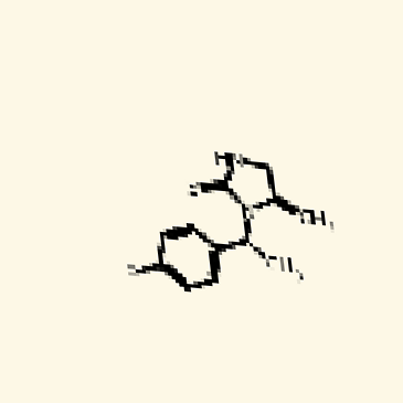 C=C1CNC(=S)N1[C@@H](C)c1ccc(F)cc1